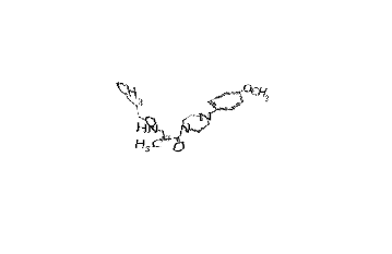 CCCCONC[C@H](C)C(=O)N1CCN(c2ccc(OC)cc2)CC1